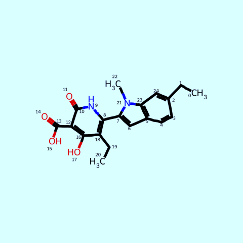 CCc1ccc2cc(-c3[nH]c(=O)c(C(=O)O)c(O)c3CC)n(C)c2c1